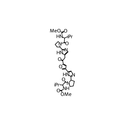 COC(=O)NC(C(=O)N1CCCC1c1ncc(CC(=O)c2cc(-c3cnc(C4CCCN4C(=O)C(NC(=O)OC)C(C)C)[nH]3)co2)[nH]1)C(C)C